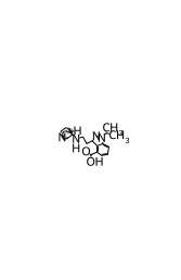 CC(C)n1nc(CCN[C@@H]2CN3CCC2CC3)c2c(C(=O)O)cccc21